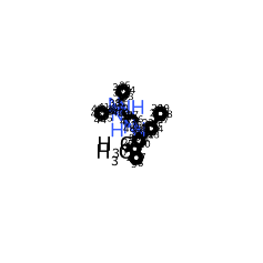 CC1(C)c2ccccc2-c2cc3c4ccc(-c5ccccc5)cc4n(-c4ccc(C5NC(c6ccccc6)=NC(c6ccccc6)N5)cn4)c3cc21